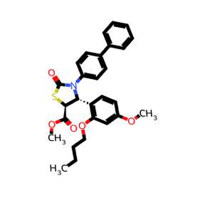 CCCCOc1cc(OC)ccc1[C@@H]1[C@@H](C(=O)OC)SC(=O)N1c1ccc(-c2ccccc2)cc1